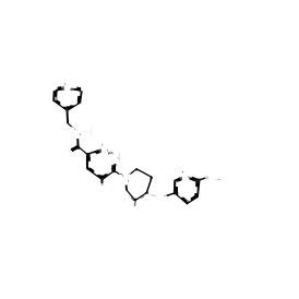 COc1ccc(O[C@@H]2CCN(c3nnc(C(=O)NCc4ccncc4)cc3C)C[C@@H]2F)cn1